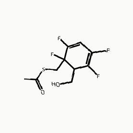 CC(=O)SCC1(F)C(F)=CC(F)=C(F)C1CO